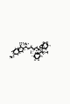 COC1c2ccc(Br)cc2CC1CCCCCC(C)(C)[Si](O)(c1ccccc1)c1ccccc1